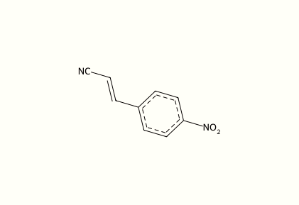 N#CC=Cc1ccc([N+](=O)[O-])cc1